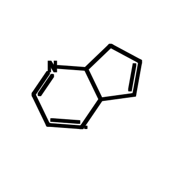 [C]1=CC=NC2CC=CC12